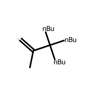 [CH]=C(C)C(CCCC)(CCCC)CCCC